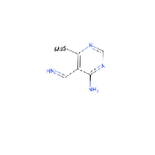 CSc1ncnc(N)c1C=N